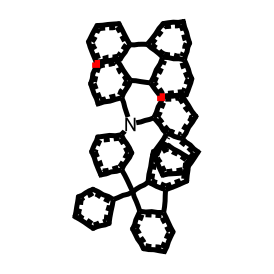 c1ccc(-c2cccc3cccc(-c4ccccc4N(c4cccc(C5(c6ccccc6)c6ccccc6-c6ccccc65)c4)c4cccc5ccccc45)c23)cc1